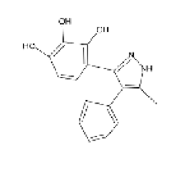 Cc1[nH]nc(-c2ccc(O)c(O)c2O)c1-c1ccccc1